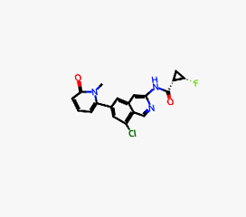 Cn1c(-c2cc(Cl)c3cnc(NC(=O)[C@@H]4C[C@@H]4F)cc3c2)cccc1=O